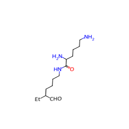 CCC(C=O)CCCCNC(=O)C(N)CCCCN